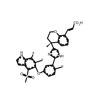 C[C@@]1(c2c[nH]c(-c3cc(Oc4c(F)c(F)c5[nH]ccc5c4S(C)(=O)=O)ccc3F)n2)CCOc2c(/C=C/C(=O)O)cccc21